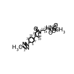 Cc1cnn(-c2ccc(-c3ccn(CCCC(=O)NS(C)(=O)=O)c(=O)c3)cc2)n1